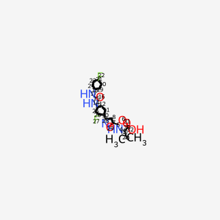 CC(C)[C@H](NC(=O)c1cc(-c2ccc(NC(=O)Nc3ccc(F)cc3)cc2F)no1)C(=O)O